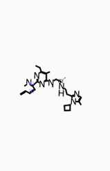 C=C/C=C\C(=N/C)c1nc(CC)c(C)c(N(C)C[C@H](C)NCCc2ncc(C)n2C2CCC2)n1